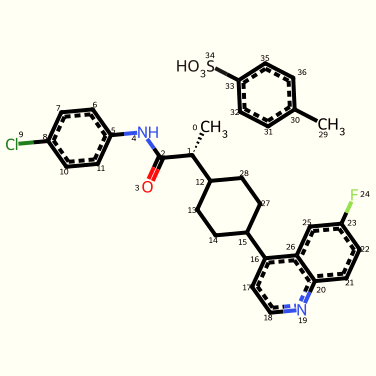 C[C@@H](C(=O)Nc1ccc(Cl)cc1)C1CCC(c2ccnc3ccc(F)cc23)CC1.Cc1ccc(S(=O)(=O)O)cc1